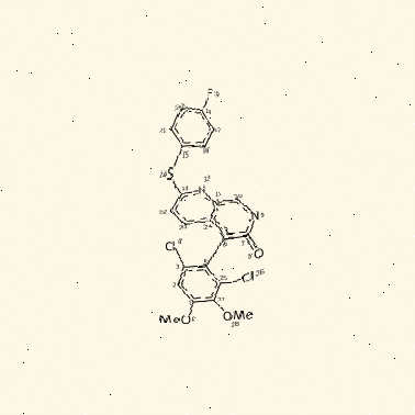 COc1cc(Cl)c(-c2c(=O)ncn3nc(Sc4ccc(F)cc4)ccc23)c(Cl)c1OC